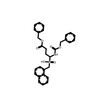 O=C(CCC(NC(=O)OCc1ccccc1)P(=O)(O)Cc1cccc2ccccc12)OCc1ccccc1